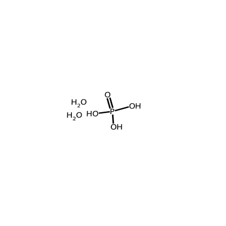 O.O.O=P(O)(O)O